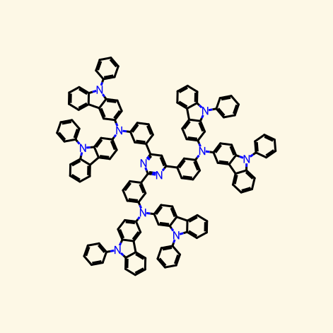 c1ccc(-n2c3ccccc3c3cc(N(c4cccc(-c5cc(-c6cccc(N(c7ccc8c(c7)c7ccccc7n8-c7ccccc7)c7ccc8c9ccccc9n(-c9ccccc9)c8c7)c6)nc(-c6cccc(N(c7ccc8c(c7)c7ccccc7n8-c7ccccc7)c7ccc8c9ccccc9n(-c9ccccc9)c8c7)c6)n5)c4)c4ccc5c6ccccc6n(-c6ccccc6)c5c4)ccc32)cc1